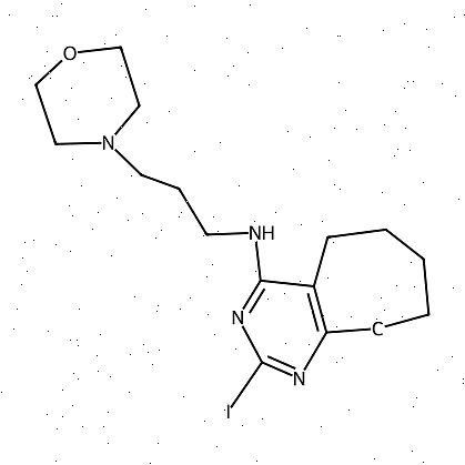 Ic1nc2c(c(NCCCN3CCOCC3)n1)CCCCC2